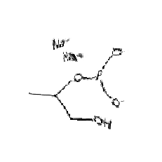 CC(CO)OP([O-])[O-].[Na+].[Na+]